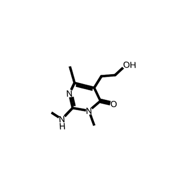 CNc1nc(C)c(CCO)c(=O)n1C